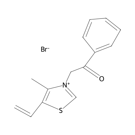 C=Cc1sc[n+](CC(=O)c2ccccc2)c1C.[Br-]